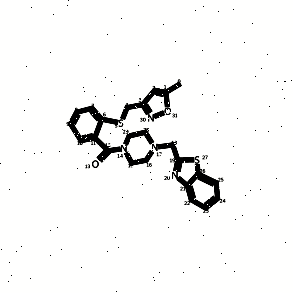 Cc1cc(CSc2ccccc2C(=O)N2CCN(Cc3nc4ccccc4s3)CC2)no1